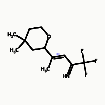 C/C(=C\C(=N)C(F)(F)F)C1CC(C)(C)CCO1